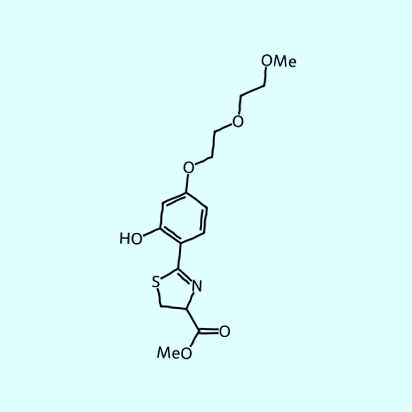 COCCOCCOc1ccc(C2=NC(C(=O)OC)CS2)c(O)c1